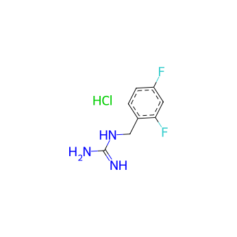 Cl.N=C(N)NCc1ccc(F)cc1F